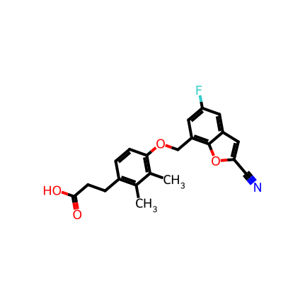 Cc1c(CCC(=O)O)ccc(OCc2cc(F)cc3cc(C#N)oc23)c1C